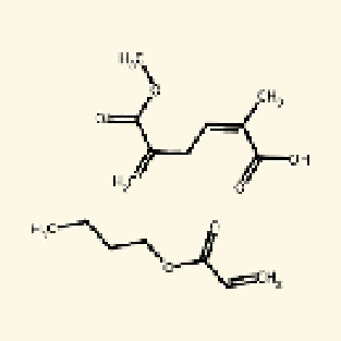 C=C(CC=C(C)C(=O)O)C(=O)OC.C=CC(=O)OCCCC